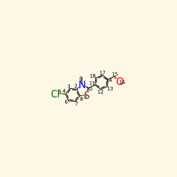 CN1c2cc(Cl)ccc2SC1c1ccc(C=O)cc1